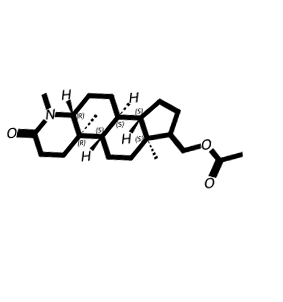 CC(=O)OCC1CC[C@H]2[C@@H]3CC[C@H]4N(C)C(=O)CC[C@]4(C)[C@H]3CC[C@]12C